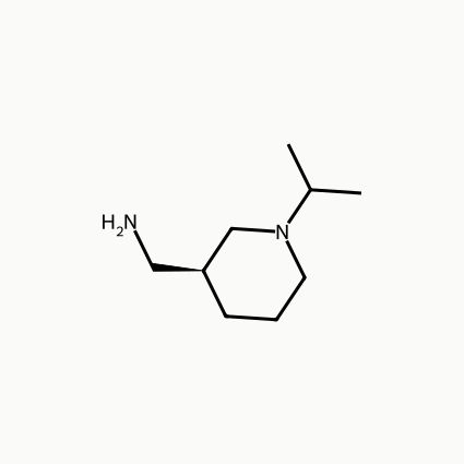 CC(C)N1CCC[C@@H](CN)C1